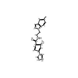 Cc1ccc2c(cnn2CCNC(=O)c2ccc(-n3cnnc3)cc2Cl)c1